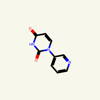 O=c1ccn(-c2cccnc2)c(=O)[nH]1